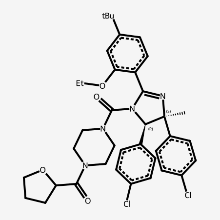 CCOc1cc(C(C)(C)C)ccc1C1=N[C@@](C)(c2ccc(Cl)cc2)[C@@H](c2ccc(Cl)cc2)N1C(=O)N1CCN(C(=O)C2CCCO2)CC1